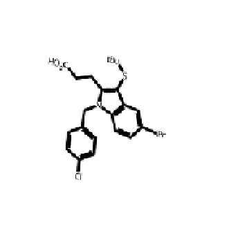 CC(C)c1ccc2c(c1)c(SC(C)(C)C)c(CCC(=O)O)n2Cc1ccc(Cl)cc1